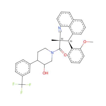 COc1ccccc1[C@H](c1cccc2ccccc12)[C@@](C)(C#N)C(=O)N1CCC(c2cccc(C(F)(F)F)c2)C(O)C1